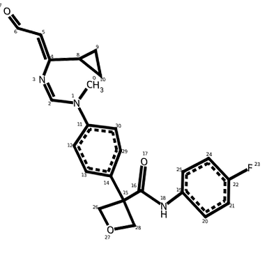 CN(/C=N\C(=C/C=O)C1CC1)c1ccc(C2(C(=O)Nc3ccc(F)cc3)COC2)cc1